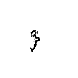 CC(C)CC#Cc1ccc(-c2ncccn2)s1